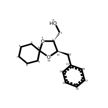 OC[C@H]1OC2(CCCCC2)O[C@@H]1Cc1ccccc1